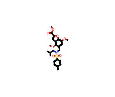 COC(=O)c1cc2c(OC)c(CN(CC(C)C)S(=O)(=O)c3ccc(C)cc3)cc(OC)c2o1